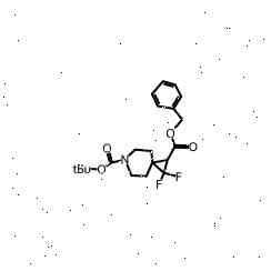 CC(C)(C)OC(=O)N1CCC2(CC1)C(C(=O)OCc1ccccc1)C2(F)F